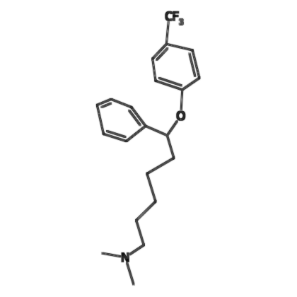 CN(C)CCCCCC(Oc1ccc(C(F)(F)F)cc1)c1ccccc1